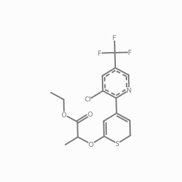 CCOC(=O)C(C)OC1=CC(c2ncc(C(F)(F)F)cc2Cl)=CCS1